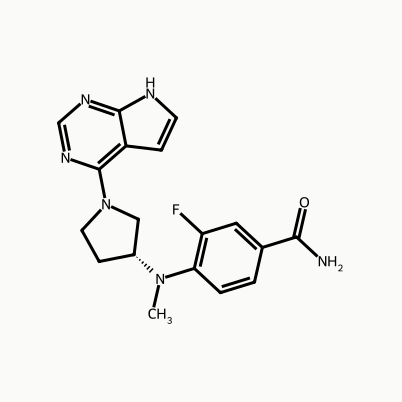 CN(c1ccc(C(N)=O)cc1F)[C@@H]1CCN(c2ncnc3[nH]ccc23)C1